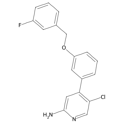 Nc1cc(-c2cccc(OCc3cccc(F)c3)c2)c(Cl)cn1